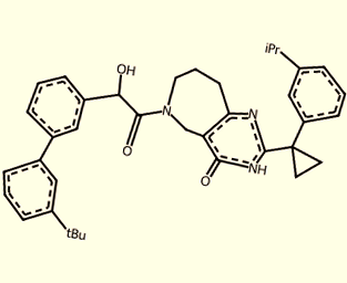 CC(C)c1cccc(C2(c3nc4c(c(=O)[nH]3)CN(C(=O)C(O)c3cccc(-c5cccc(C(C)(C)C)c5)c3)CCC4)CC2)c1